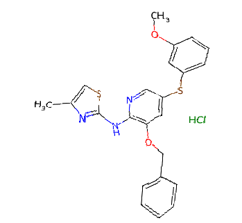 COc1cccc(Sc2cnc(Nc3nc(C)cs3)c(OCc3ccccc3)c2)c1.Cl